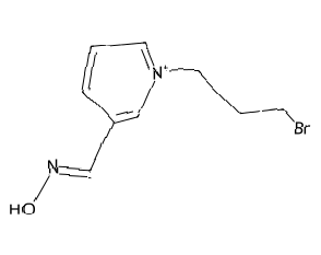 ON=Cc1ccc[n+](CCCBr)c1